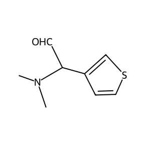 CN(C)C(C=O)c1ccsc1